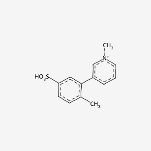 Cc1ccc(S(=O)(=O)O)cc1-c1ccc[n+](C)c1